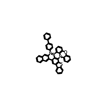 c1ccc(-c2ccc(N3B4c5cccc6c5N(c5ccccc5O6)c5c4c(cc4c5sc5ccccc54)-c4cc5ccccc5cc43)cc2)cc1